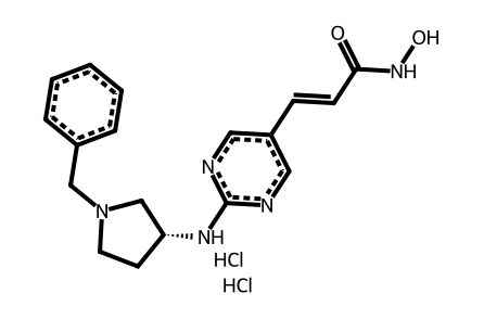 Cl.Cl.O=C(/C=C/c1cnc(N[C@@H]2CCN(Cc3ccccc3)C2)nc1)NO